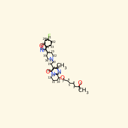 CC(=O)CCCCCOC1CCCn2c1nc(C)c(CCN1CCC(c3noc4cc(F)ccc34)CC1)c2=O